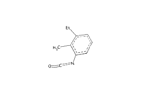 CCc1cccc(N=C=O)c1C